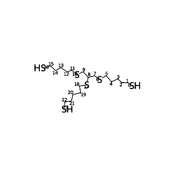 SCCCCCSCC(CSCCCCCS)SCCCCCS